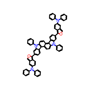 c1ccc(N(c2ccccc2)c2ccc3c(-c4ccc5c6c7ccc8c(c7ccc6n(-c6ccccc6)c5c4)c4ccc(-c5occ6cc(N(c7ccccc7)c7ccccc7)ccc56)cc4n8-c4ccccc4)occ3c2)cc1